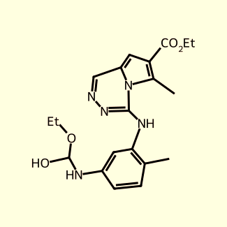 CCOC(=O)c1cc2cnnc(Nc3cc(NC(O)OCC)ccc3C)n2c1C